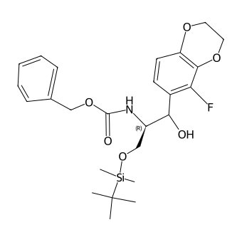 CC(C)(C)[Si](C)(C)OC[C@@H](NC(=O)OCc1ccccc1)C(O)c1ccc2c(c1F)OCCO2